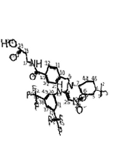 CC(C)(C)[C@H]1CC[C@H](N(Cc2ccc(C(=O)NCCC(=O)O)cc2)/C(=C\[N+](=O)[O-])Nc2cc(C(F)(F)F)cc(C(F)(F)F)c2)CC1